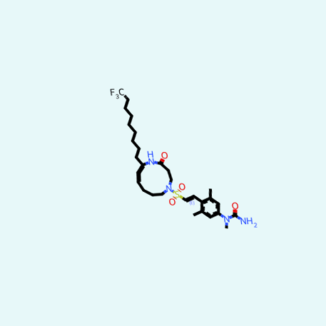 Cc1cc(N(C)C(N)=O)cc(C)c1/C=C/S(=O)(=O)N1CCCC=C=C(CCCCCCCCC(F)(F)F)NC(=O)CC1